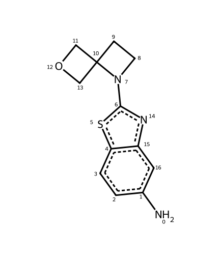 Nc1ccc2sc(N3CCC34COC4)nc2c1